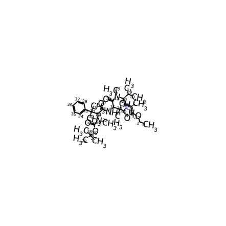 CCOC(=O)/C(C)=C/[C@H](C(C)C)N(C)C(=O)C(NC(=O)[C@@H](N(C)C(=O)OC(C)(C)C)C(C)(C)c1ccccc1)C(C)(C)C